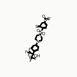 O=[N+]([O-])C1=CC=C(S(=O)(=O)N2CCN(c3ccc(C(O)(C(F)(F)F)C(F)(F)F)cc3)CC2)C(=S)C1